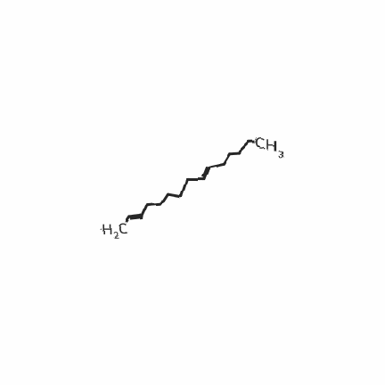 [CH2]C=CCCCCCC=CCCCCC